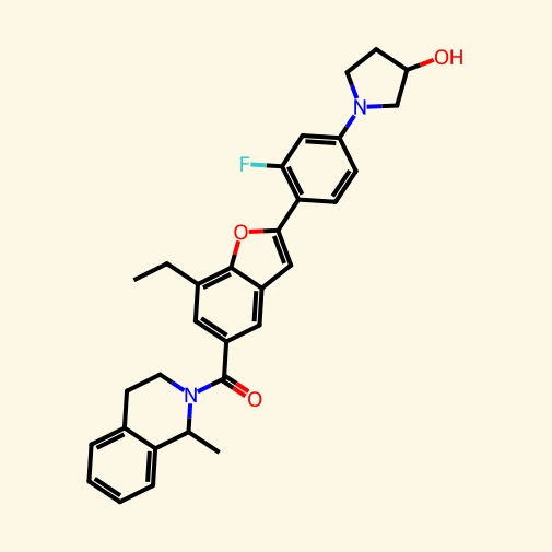 CCc1cc(C(=O)N2CCc3ccccc3C2C)cc2cc(-c3ccc(N4CCC(O)C4)cc3F)oc12